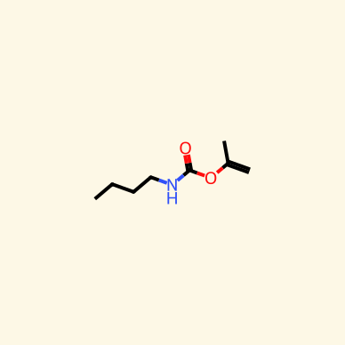 C=C(C)OC(=O)NCCCC